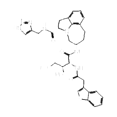 CC[C@H](C)[C@H](NC(=O)Cc1csc2ccccc12)C(=O)N[C@H]1CCc2cccc3c2N(C1)[C@H](C(=O)NCc1c[nH]nn1)C3